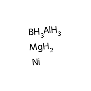 B.[AlH3].[MgH2].[Ni]